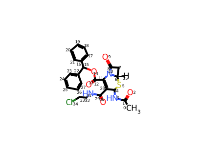 CC(=O)NC1S[C@H]2CC(=O)N2C(C(=O)OC(c2ccccc2)c2ccccc2)=C1C(=O)NCCCl